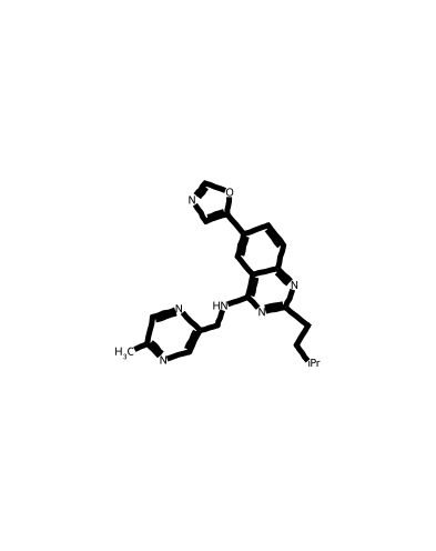 Cc1cnc(CNc2nc(CCC(C)C)nc3ccc(-c4cnco4)cc23)cn1